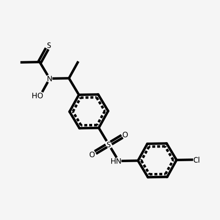 CC(=S)N(O)C(C)c1ccc(S(=O)(=O)Nc2ccc(Cl)cc2)cc1